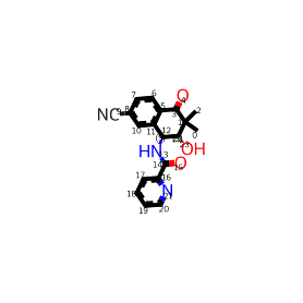 CC1(C)C(=O)c2ccc(C#N)cc2[C@H](NC(=O)c2ccccn2)[C@H]1O